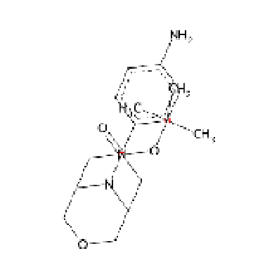 CC(C)(C)OC(=O)N1C2COCC1CN(c1ccc(N)cc1)C2